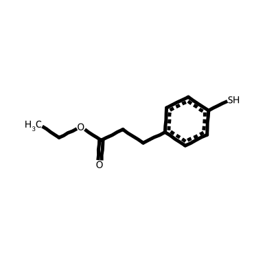 CCOC(=O)CCc1ccc(S)cc1